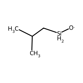 CC(C)C[SiH2][O]